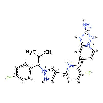 CC(C)[C@H](c1ccc(F)cc1)n1cc(-c2ccc(F)c(-c3ccn4nc(N)nc4c3)n2)cn1